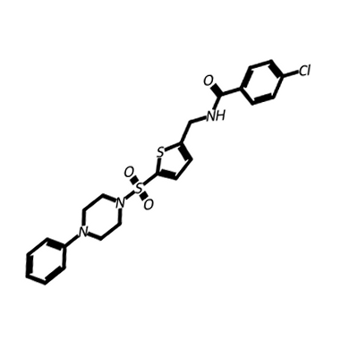 O=C(NCc1ccc(S(=O)(=O)N2CCN(c3ccccc3)CC2)s1)c1ccc(Cl)cc1